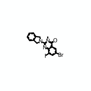 Cn1c(N2Cc3ccccc3C2)nc2c(I)cc(Br)cc2c1=O